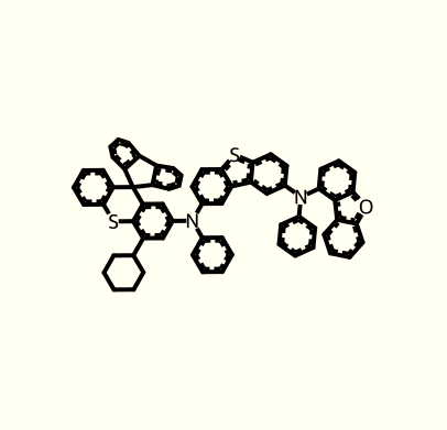 c1ccc(N(c2cc(C3CCCCC3)c3c(c2)C2(c4ccccc4S3)c3ccccc3-c3ccccc32)c2ccc3sc4ccc(N(c5ccccc5)c5cccc6oc7ccccc7c56)cc4c3c2)cc1